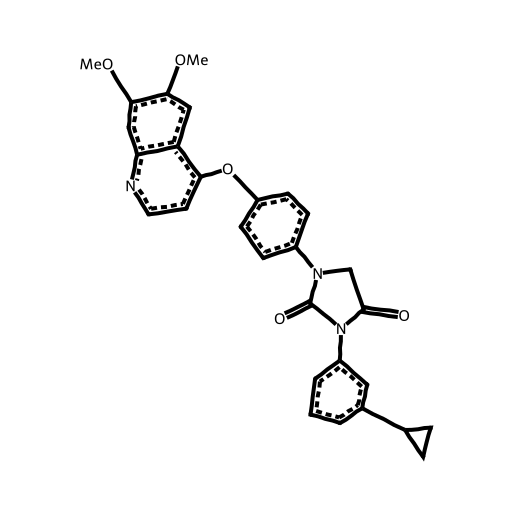 COc1cc2nccc(Oc3ccc(N4CC(=O)N(c5cccc(C6CC6)c5)C4=O)cc3)c2cc1OC